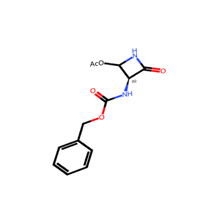 CC(=O)OC1NC(=O)[C@H]1NC(=O)OCc1ccccc1